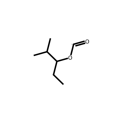 CCC(O[C]=O)C(C)C